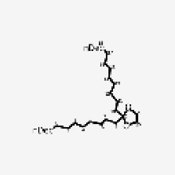 CCCCCCCCCCCCCCCCCCC1(CCCCCCCCCCCCCCCCCC)OCCO1